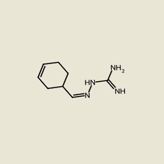 N=C(N)N/N=C\C1CC=CCC1